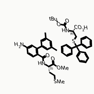 CC(C)(C)OC(=O)N[C@@H](CSC(c1ccccc1)(c1ccccc1)c1ccccc1)C(=O)O.COC(=O)[C@H](CCSC)NC(=O)c1ccc(N)cc1-c1cc(C)cc(C)c1